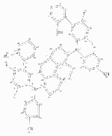 CC(C)(C)c1ccccc1-c1cc(N(c2ccc(C#N)cc2)c2ccc3ccc4c(N(c5ccc(C#N)cc5)c5cc(-c6ccccc6C(C)(C)C)c(F)cc5F)ccc5ccc2c3c54)c(F)cc1F